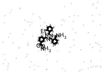 CCc1ccccc1-c1nc(-c2cccc(C(=O)ON)c2)nc(-c2ccccc2CN)n1